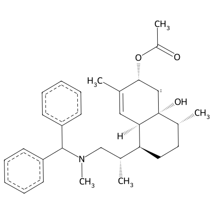 CC(=O)O[C@@H]1[C][C@@]2(O)[C@H](C)CC[C@@H]([C@H](C)CN(C)C(c3ccccc3)c3ccccc3)[C@H]2C=C1C